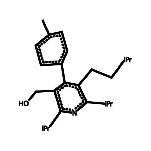 Cc1ccc(-c2c(CO)c(C(C)C)nc(C(C)C)c2CCC(C)C)cc1